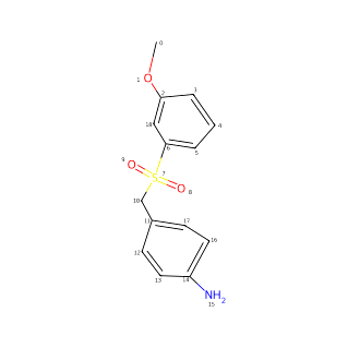 COc1cccc(S(=O)(=O)Cc2ccc(N)cc2)c1